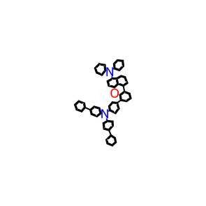 c1ccc(-c2ccc(N(c3ccc(-c4ccccc4)cc3)c3ccc(-c4cccc5c4Oc4ccc(N(c6ccccc6)c6ccccc6)c6cccc-5c46)cc3)cc2)cc1